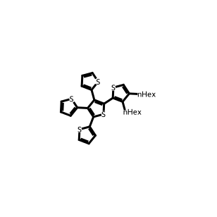 CCCCCCc1csc(-c2sc(-c3cccs3)c(-c3cccs3)c2-c2cccs2)c1CCCCCC